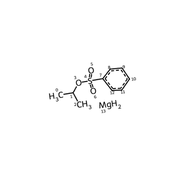 CC(C)OS(=O)(=O)c1ccccc1.[MgH2]